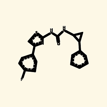 O=C(Nc1nc(-c2ccc(F)cc2)cs1)NC1CC1c1ccccc1